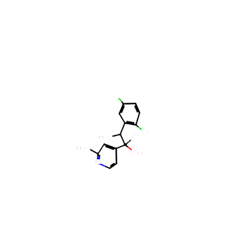 Cc1cc(C(O)(C(C)c2cc(Cl)ccc2Cl)C(F)(F)F)ccn1